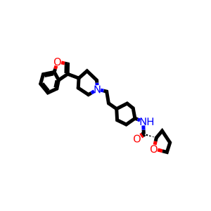 O=C(NC1CCC(CCN2CCC(c3coc4ccccc34)CC2)CC1)[C@@H]1CCCO1